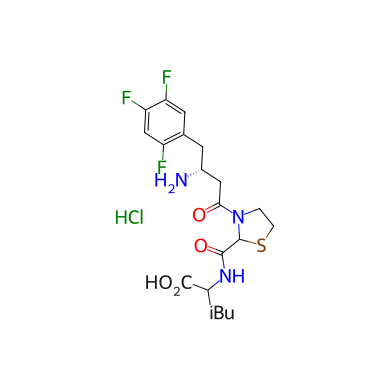 CCC(C)C(NC(=O)C1SCCN1C(=O)C[C@H](N)Cc1cc(F)c(F)cc1F)C(=O)O.Cl